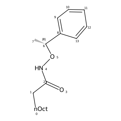 CCCCCCCCCC(=O)NO[C@H](C)c1ccccc1